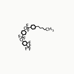 CCCCCc1ccc(C(F)(F)Oc2ccc(C(F)(F)Oc3ccc(C(F)(F)F)c(F)c3)cc2)cc1